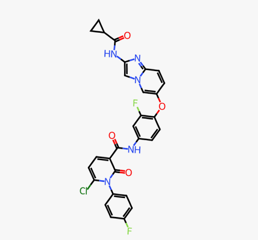 O=C(Nc1ccc(Oc2ccc3nc(NC(=O)C4CC4)cn3c2)c(F)c1)c1ccc(Cl)n(-c2ccc(F)cc2)c1=O